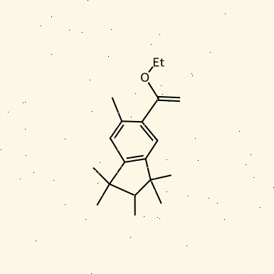 C=C(OCC)c1cc2c(cc1C)C(C)(C)C(C)C2(C)C